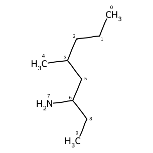 CCCC(C)CC(N)CC